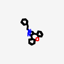 c1ccc(CCn2cc3c(n2)-c2ccccc2Oc2ccccc2-3)cc1